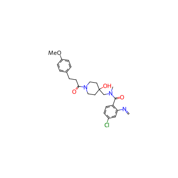 C=Nc1cc(Cl)ccc1C(=O)N(C)CC1(O)CCN(C(=O)CCc2ccc(OC)cc2)CC1